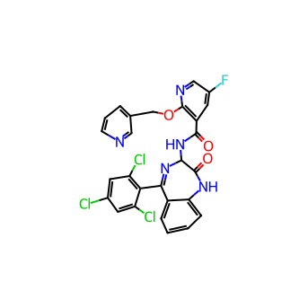 O=C(NC1N=C(c2c(Cl)cc(Cl)cc2Cl)c2ccccc2NC1=O)c1cc(F)cnc1OCc1cccnc1